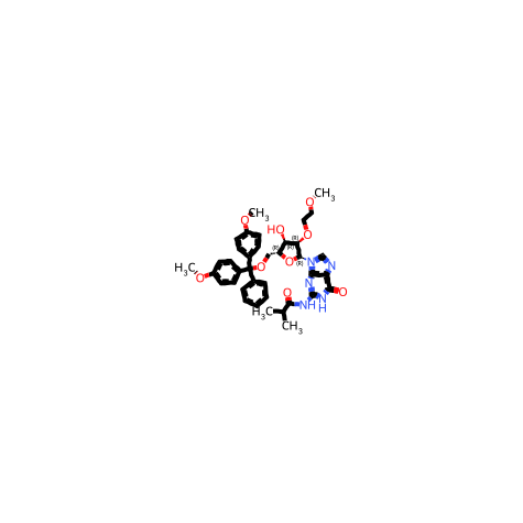 COCCO[C@@H]1[C@H](O)[C@@H](COC(c2ccccc2)(c2ccc(OC)cc2)c2ccc(OC)cc2)O[C@H]1n1cnc2c(=O)[nH]c(NC(=O)C(C)C)nc21